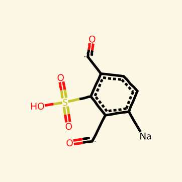 O=[C]c1cc[c]([Na])c([C]=O)c1S(=O)(=O)O